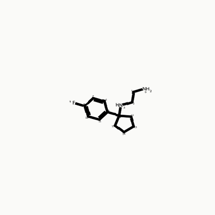 NCCNC1(c2ccc(F)cc2)CCCC1